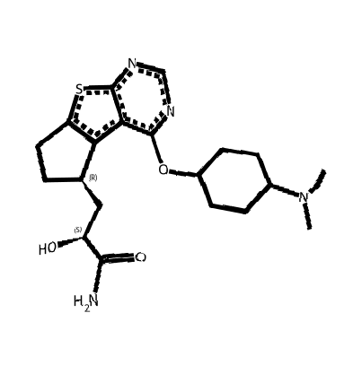 CN(C)C1CCC(Oc2ncnc3sc4c(c23)[C@@H](C[C@H](O)C(N)=O)CC4)CC1